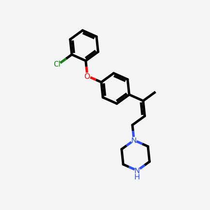 CC(=CCN1CCNCC1)c1ccc(Oc2ccccc2Cl)cc1